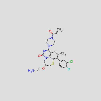 C=CC(=O)N1CCN(c2nc(=O)n3c4c(c(-c5ccc(F)c(Cl)c5)c(C(F)(F)F)cc24)SCC(OCCN)C3)CC1